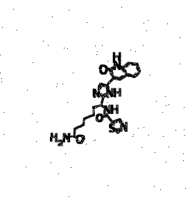 NC(=O)CCCCC[C@H](NC(=O)c1cncs1)c1ncc(-c2cc3ccccc3[nH]c2=O)[nH]1